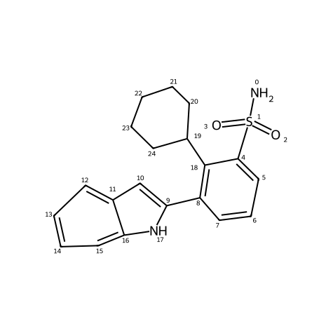 NS(=O)(=O)c1cccc(-c2cc3ccccc3[nH]2)c1C1CCCCC1